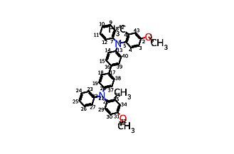 COc1ccc(N(c2ccccc2)c2ccc(-c3ccc(N(c4ccccc4)c4ccc(OC)cc4C)cc3)cc2)c(C)c1